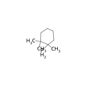 CC1(C)CCCCC1(C)P